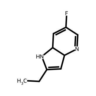 CCC1=CC2N=CC(F)=CC2N1